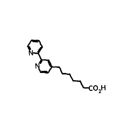 O=C(O)CCCCCCc1ccnc(-c2ccccn2)c1